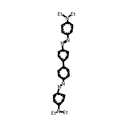 CCN(CC)c1ccc(N=Nc2ccc(-c3ccc(N=Nc4ccc(N(CC)CC)cc4)cc3)cc2)cc1